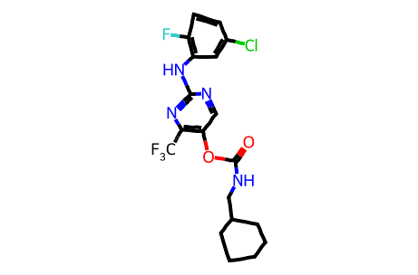 O=C(NCC1CCCCC1)Oc1cnc(Nc2cc(Cl)ccc2F)nc1C(F)(F)F